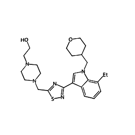 CCc1cccc2c(-c3nsc(CN4CCN(CCO)CC4)n3)cn(CC3CCOCC3)c12